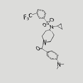 CN(C)c1ccc(C(=O)N2CCC(N(C3CC3)S(=O)(=O)c3cccc(C(F)(F)F)c3)CC2)cc1